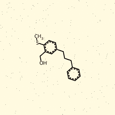 CSc1ccc(CCCc2ccccc2)cc1CO